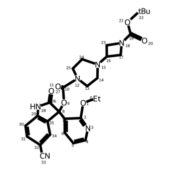 CCOc1ncccc1C1(OC(=O)N2CCN(C3CN(C(=O)OC(C)(C)C)C3)CC2)C(=O)Nc2ccc(C#N)cc21